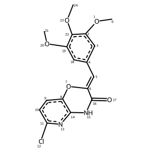 COc1cc(/C=C2\Oc3ccc(Cl)nc3NC2=O)cc(OC)c1OC